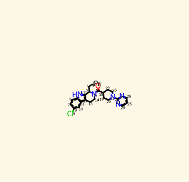 CC(C)CC1c2[nH]c3ccc(Cl)cc3c2CCN1C(=O)C1CCN(c2ncccn2)CC1